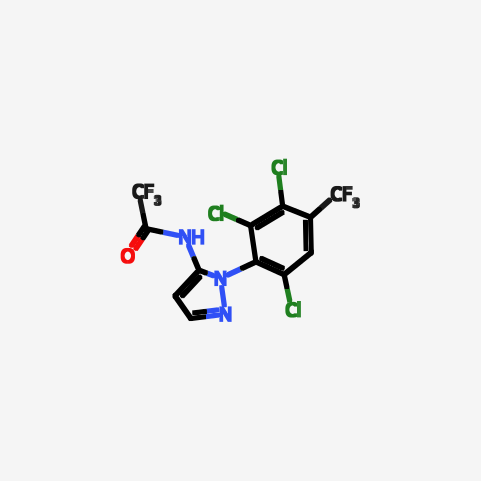 O=C(Nc1ccnn1-c1c(Cl)cc(C(F)(F)F)c(Cl)c1Cl)C(F)(F)F